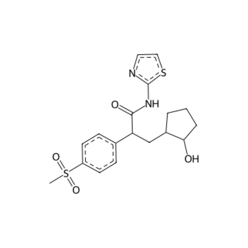 CS(=O)(=O)c1ccc(C(CC2CCCC2O)C(=O)Nc2nccs2)cc1